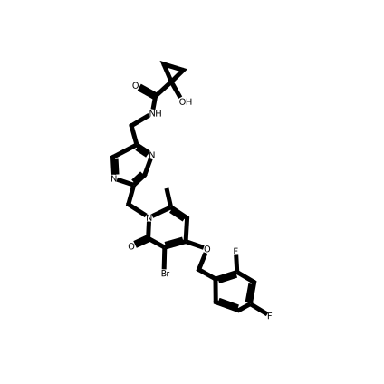 Cc1cc(OCc2ccc(F)cc2F)c(Br)c(=O)n1Cc1cnc(CNC(=O)C2(O)CC2)cn1